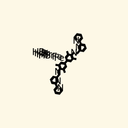 Br.Br.Br.Br.Cc1cc(-c2cc(C)c(N=Cc3cccc(-c4ccccn4)n3)c(C)c2)cc(C)c1N=Cc1cccc(-c2ccccn2)n1.[Fe].[Fe]